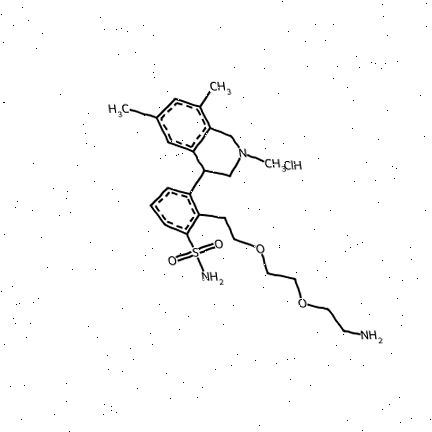 Cc1cc(C)c2c(c1)C(c1cccc(S(N)(=O)=O)c1CCOCCOCCN)CN(C)C2.Cl